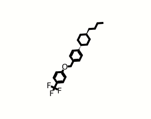 CCCC[C@H]1CC[C@H](c2ccc(COc3ccc(C(F)(F)F)cc3)cc2)CC1